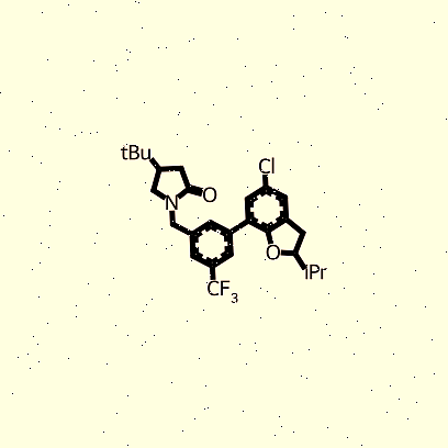 CC(C)C1Cc2cc(Cl)cc(-c3cc(CN4CC(C(C)(C)C)CC4=O)cc(C(F)(F)F)c3)c2O1